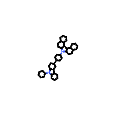 c1ccc(-n2c3ccccc3c3cc(-c4ccc(-n5c6ccc7ccccc7c6c6c7ccccc7ccc65)cc4)ccc32)cc1